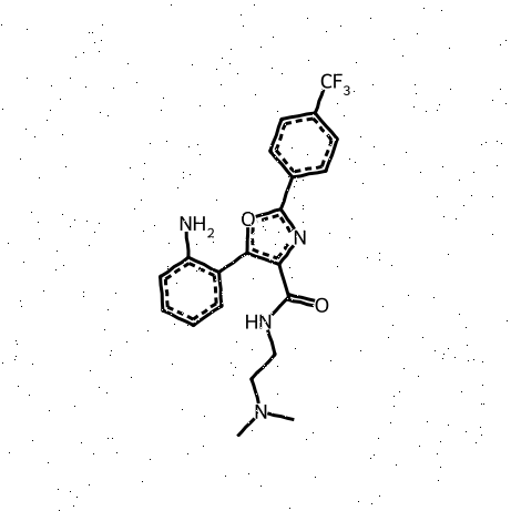 CN(C)CCNC(=O)c1nc(-c2ccc(C(F)(F)F)cc2)oc1-c1ccccc1N